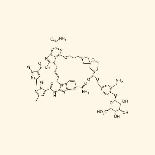 CCn1nc(C)cc1C(=O)Nc1nc2cc(C(N)=O)ccc2n1C/C=C/Cn1c(NC(=O)c2cc(C)nn2CC)nc2cc(C(N)=O)cc(OCCCN3CC4(C3)CN(C(=O)OCc3ccc(O[C@@H]5O[C@H](C(=O)O)[C@@H](O)[C@H](O)[C@H]5O)c(CN)c3)CCO4)c21